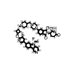 O=C1CCC(N2C(=O)c3ccc(N4CCN(CC5CCN(C[C@H]6C[C@H](Oc7ncc(-c8ccc9c%10cnccc%10n(C(F)F)c9c8)cc7F)C6)CC5)CC4)cc3C2=O)C(=O)N1